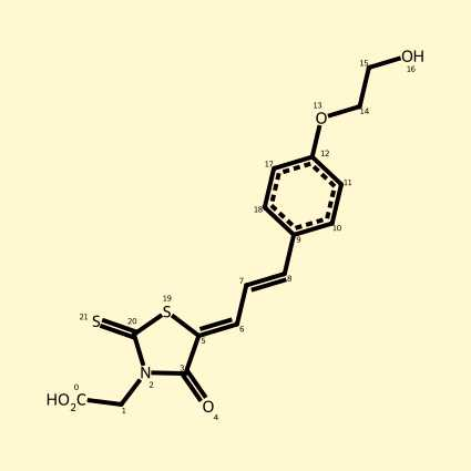 O=C(O)CN1C(=O)C(=CC=Cc2ccc(OCCO)cc2)SC1=S